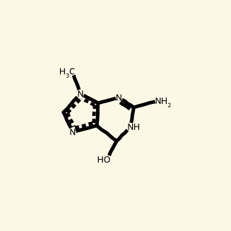 Cn1cnc2c1N=C(N)NC2O